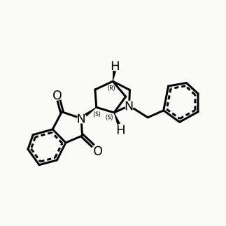 O=C1c2ccccc2C(=O)N1[C@H]1C[C@H]2C[C@@H]1N(Cc1ccccc1)C2